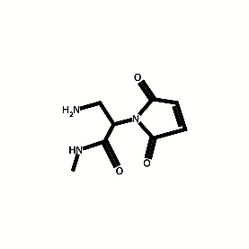 CNC(=O)C(CN)N1C(=O)C=CC1=O